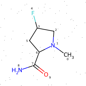 CN1CC(F)CC1C(N)=O